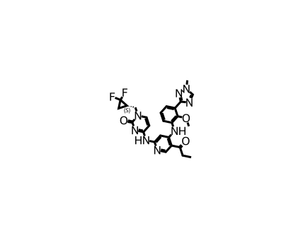 CCC(=O)c1cnc(Nc2ccn(C[C@@H]3CC3(F)F)c(=O)n2)cc1Nc1cccc(-c2ncn(C)n2)c1OC